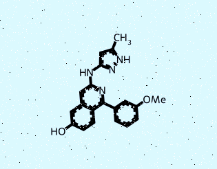 COc1cccc(-c2nc(Nc3cc(C)[nH]n3)cc3cc(O)ccc23)c1